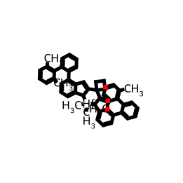 Cc1cccc(C)c1-c1ccccc1-c1cccc2c1C=C1[CH]2[Hf]([CH3])([CH3])[CH]2C(=Cc3c(-c4ccccc4-c4c(C)cccc4C)cccc32)C12CCC2